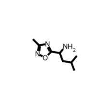 Cc1noc(C(N)CC(C)C)n1